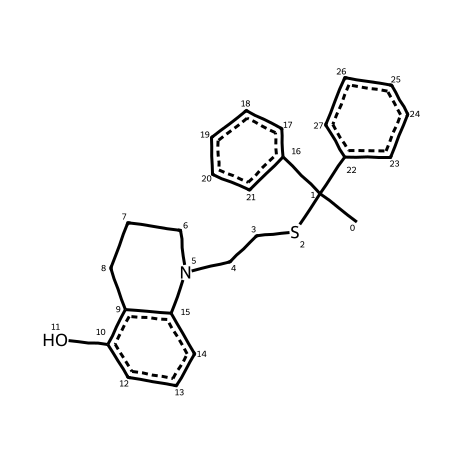 CC(SCCN1CCCc2c(O)cccc21)(c1ccccc1)c1ccccc1